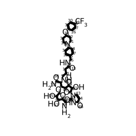 NCC1OC(OC(C(NCCCC(=O)NCc2ccc(N3CCC(Oc4ccc(C(F)(F)F)cc4)CC3)cc2)C(N)=O)C2OC(n3ccc(=O)[nH]c3=O)C(O)C2O)C(O)C1O